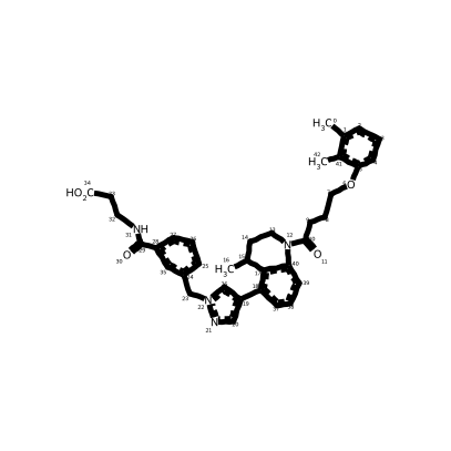 Cc1cccc(OCCCC(=O)N2CCC(C)c3c(-c4cnn(Cc5cccc(C(=O)NCCC(=O)O)c5)c4)cccc32)c1C